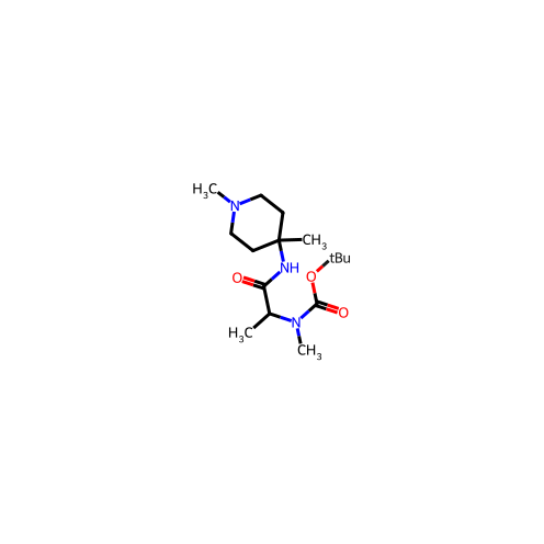 CC(C(=O)NC1(C)CCN(C)CC1)N(C)C(=O)OC(C)(C)C